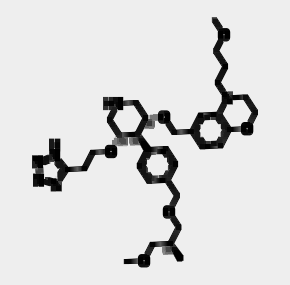 COCCCN1CCOc2ccc(CO[C@H]3CNC[C@@H](OCCc4nnn[nH]4)[C@@H]3c3ccc(COC[C@@H](C)COC)cc3)cc21